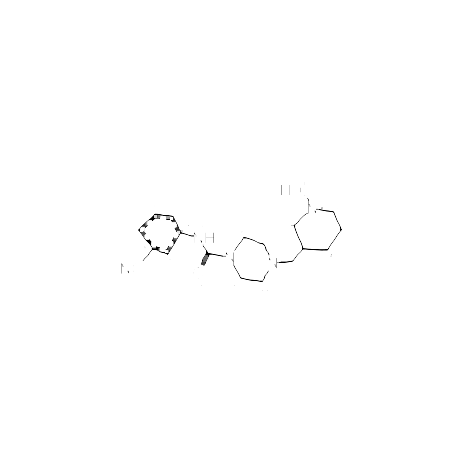 CN1CCCC(CN2CCN(C(=O)Nc3cccc(C#N)c3)CC2)C1